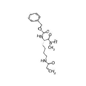 C=CC(=O)NCCCC[C@H](NC(=O)OCc1ccccc1)C(=O)N(C)CC